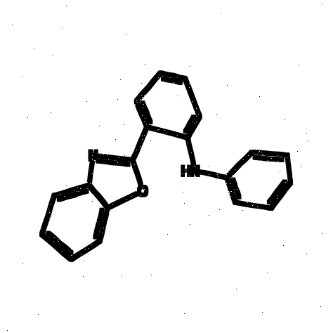 c1ccc(Nc2ccccc2-c2nc3ccccc3o2)cc1